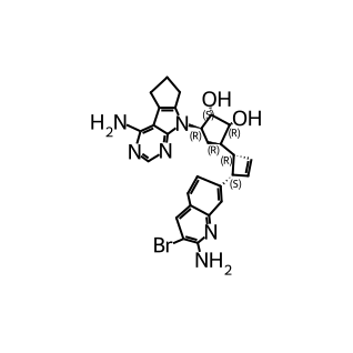 Nc1nc2cc([C@H]3C=C[C@H]3[C@H]3C[C@@H](n4c5c(c6c(N)ncnc64)CCC5)[C@H](O)[C@@H]3O)ccc2cc1Br